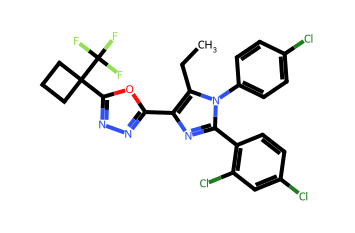 CCc1c(-c2nnc(C3(C(F)(F)F)CCC3)o2)nc(-c2ccc(Cl)cc2Cl)n1-c1ccc(Cl)cc1